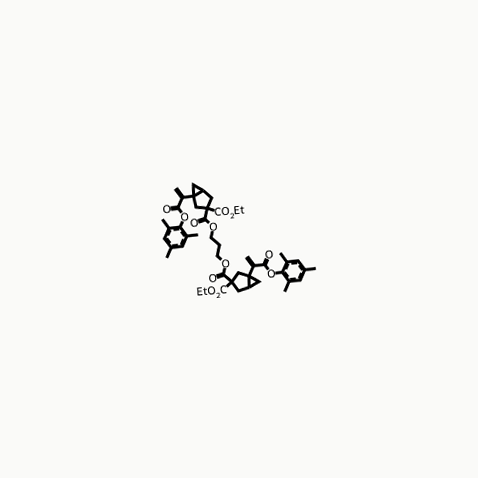 C=C(C(=O)Oc1c(C)cc(C)cc1C)C12CC1CC(C(=O)OCC)(C(=O)OCCCOC(=O)C1(C(=O)OCC)CC3CC3(C(=C)C(=O)Oc3c(C)cc(C)cc3C)C1)C2